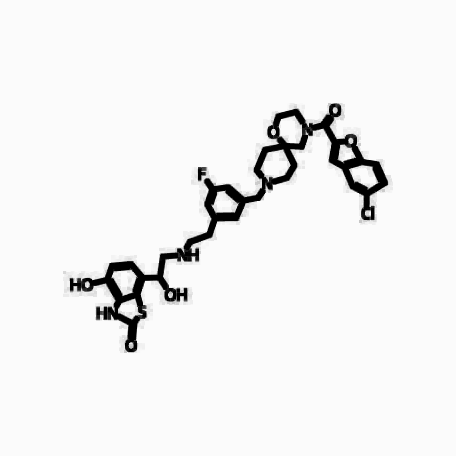 O=C(c1cc2cc(Cl)ccc2o1)N1CCOC2(CCN(Cc3cc(F)cc(CCNCC(O)c4ccc(O)c5[nH]c(=O)sc45)c3)CC2)C1